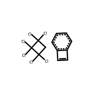 C1=Cc2ccccc21.ClC1(Cl)CC(Cl)(Cl)C1(Cl)Cl